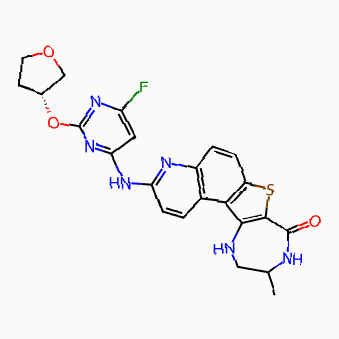 CC1CNc2c(sc3ccc4nc(Nc5cc(F)nc(O[C@@H]6CCOC6)n5)ccc4c23)C(=O)N1